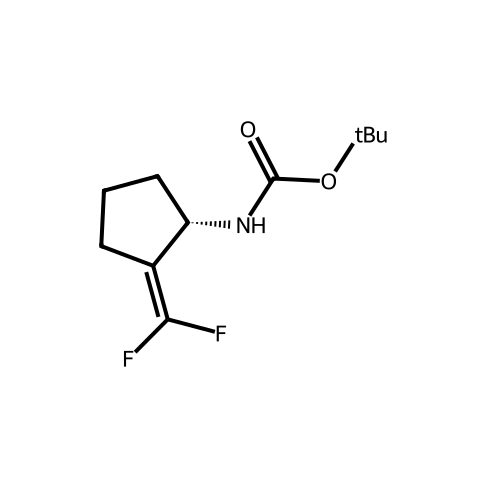 CC(C)(C)OC(=O)N[C@H]1CCCC1=C(F)F